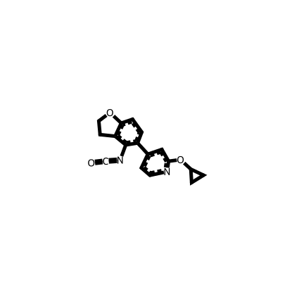 O=C=Nc1c(-c2ccnc(OC3CC3)c2)ccc2c1CCO2